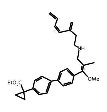 C=C/C=C\C(=C)CCNC/C(C)=C(/OC)c1ccc(-c2ccc(C3(C(=O)OCC)CC3)cc2)cc1